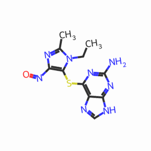 CCn1c(C)nc(N=O)c1Sc1nc(N)nc2[nH]cnc12